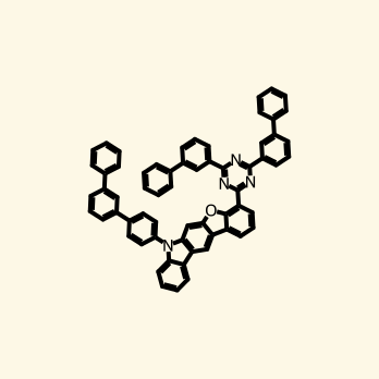 c1ccc(-c2cccc(-c3ccc(-n4c5ccccc5c5cc6c(cc54)oc4c(-c5nc(-c7cccc(-c8ccccc8)c7)nc(-c7cccc(-c8ccccc8)c7)n5)cccc46)cc3)c2)cc1